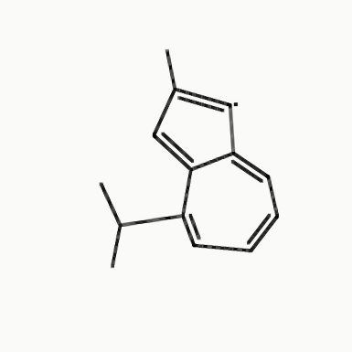 Cc1[c]c2ccccc(C(C)C)c-2c1